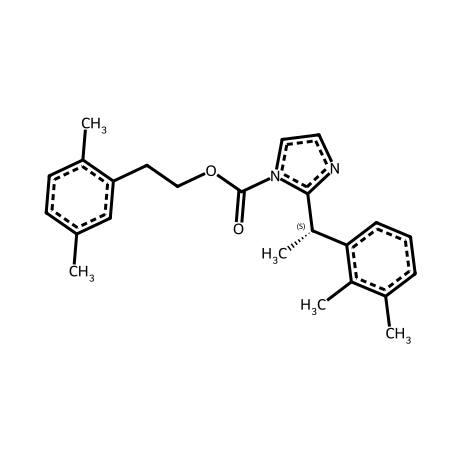 Cc1ccc(C)c(CCOC(=O)n2ccnc2[C@@H](C)c2cccc(C)c2C)c1